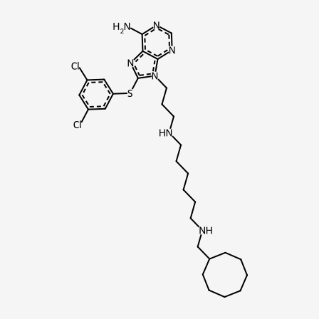 Nc1ncnc2c1nc(Sc1cc(Cl)cc(Cl)c1)n2CCCNCCCCCCNCC1CCCCCCC1